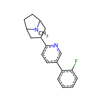 CN1C2CCC1CC(c1ccc(-c3ccccc3F)cn1)C2